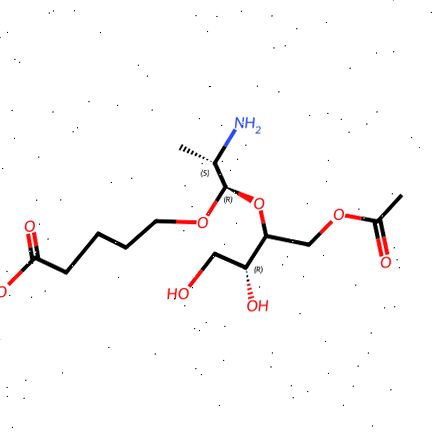 CC(=O)OCC(O[C@@H](OCCCCC(=O)O)[C@H](C)N)[C@H](O)CO